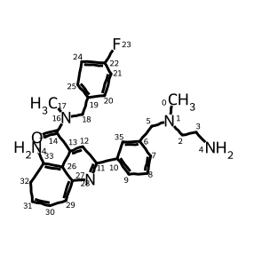 CN(CCN)Cc1cccc(-c2cc(C(=O)N(C)Cc3ccc(F)cc3)c3c(n2)=CC=CCC=3N)c1